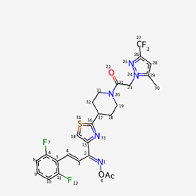 CC(=O)O/N=C(\C=C\c1c(F)cccc1F)c1csc(C2CCN(C(=O)Cn3nc(C(F)(F)F)cc3C)CC2)n1